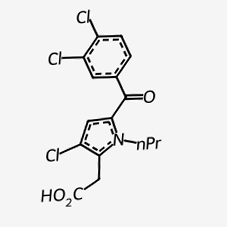 CCCn1c(C(=O)c2ccc(Cl)c(Cl)c2)cc(Cl)c1CC(=O)O